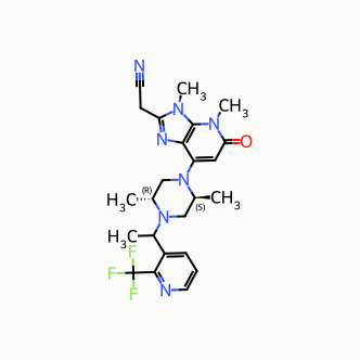 CC(c1cccnc1C(F)(F)F)N1C[C@H](C)N(c2cc(=O)n(C)c3c2nc(CC#N)n3C)C[C@H]1C